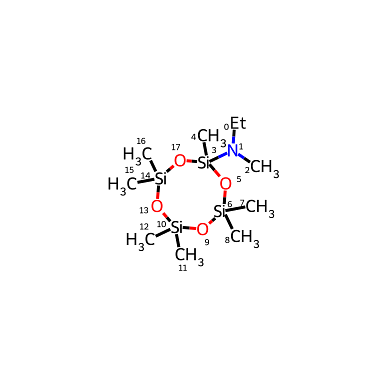 CCN(C)[Si]1(C)O[Si](C)(C)O[Si](C)(C)O[Si](C)(C)O1